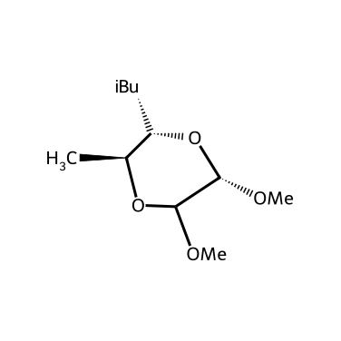 CC[C@@H](C)[C@@H]1O[C@H](OC)C(OC)O[C@H]1C